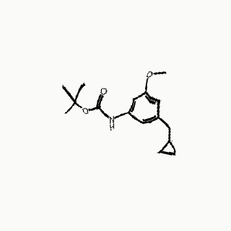 COc1cc(C[C]2CC2)cc(NC(=O)OC(C)(C)C)c1